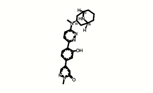 CN(c1ccc(-c2ccc(-c3cnn(C)c(=O)c3)cc2O)nn1)[C@@H]1C[C@H]2CCC[C@@H](C1)N2